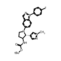 Cn1cc([C@@H]2C(NC(=O)OC(C)(C)C)CCN2c2ccc3c(cnn3-c3ccc(F)cc3)c2)cn1